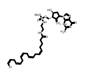 C=C1C(n2cnc3c(=O)nc(N)[nH]c32)C[C@H](O)[C@H]1COP(=O)(NCCNC(=O)CCC/C=C\C/C=C\C/C=C\C/C=C\C/C=C\CC)OC